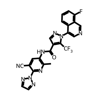 Cc1nc(-n2nccn2)c(C#N)cc1NC(=O)c1cnn(-c2cncc3c(F)cccc23)c1C(F)(F)F